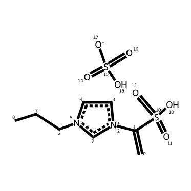 C=C([n+]1ccn(CCC)c1)S(=O)(=O)O.O=S(=O)([O-])O